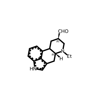 CCN1C[C@H](C=O)CC2c3cccc4[nH]cc(c34)C[C@H]21